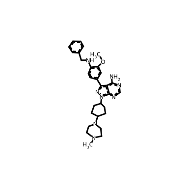 COc1cc(-c2nn(C3CCC(N4CCN(C)CC4)CC3)c3ncnc(N)c23)ccc1NCc1ccccc1